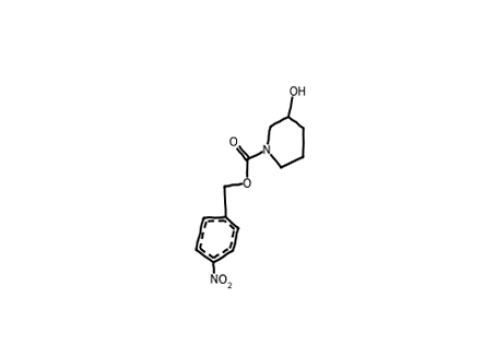 O=C(OCc1ccc([N+](=O)[O-])cc1)N1CCCC(O)C1